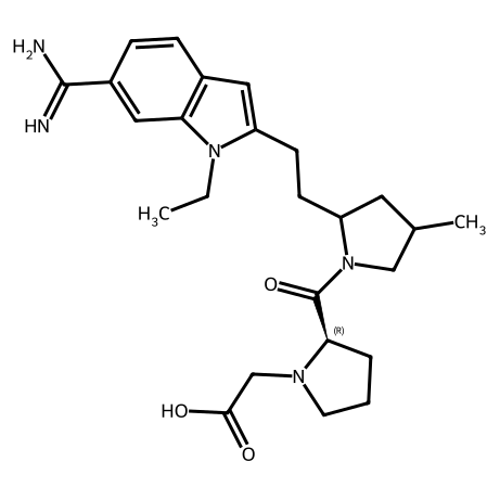 CCn1c(CCC2CC(C)CN2C(=O)[C@H]2CCCN2CC(=O)O)cc2ccc(C(=N)N)cc21